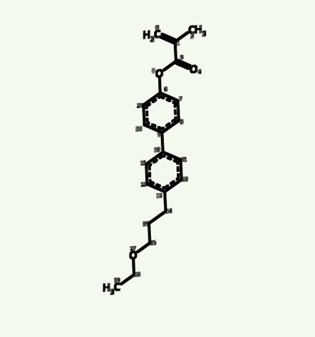 C=C(C)C(=O)Oc1ccc(-c2ccc(CCCOCC)cc2)cc1